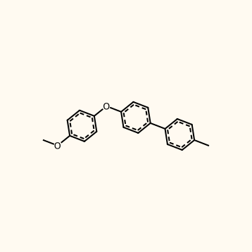 COc1ccc(Oc2ccc(-c3ccc(C)cc3)cc2)cc1